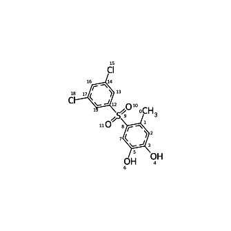 Cc1cc(O)c(O)cc1S(=O)(=O)c1cc(Cl)cc(Cl)c1